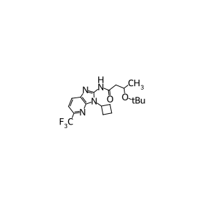 CC(CC(=O)Nc1nc2ccc(C(F)(F)F)nc2n1C1CCC1)OC(C)(C)C